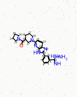 N=C(NN)c1cccc(-c2nc3ccc(N4CCCC(C(=O)N5CCCC5)C4)nc3[nH]2)c1